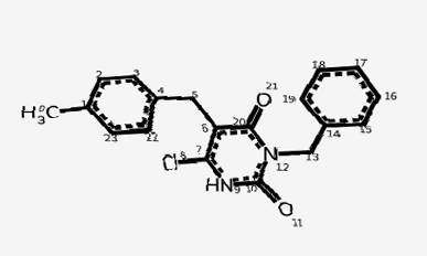 Cc1ccc(Cc2c(Cl)[nH]c(=O)n(Cc3ccccc3)c2=O)cc1